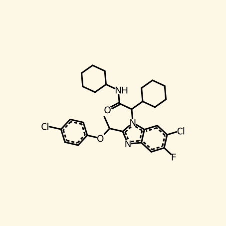 CC(Oc1ccc(Cl)cc1)c1nc2cc(F)c(Cl)cc2n1C(C(=O)NC1CCCCC1)C1CCCCC1